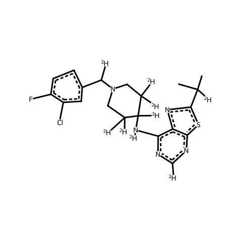 [2H]c1nc(N([2H])C2([2H])C([2H])([2H])CN(C([2H])c3ccc(F)c(Cl)c3)CC2([2H])[2H])c2nc(C([2H])(C)C)sc2n1